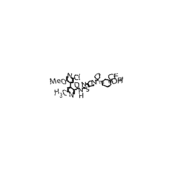 COc1cnc(Cl)cc1-c1cc(C)ncc1C(=O)Nc1nc2c(s1)CN(C(=O)[C@H]1CCC[C@](O)(C(F)(F)F)C1)C2